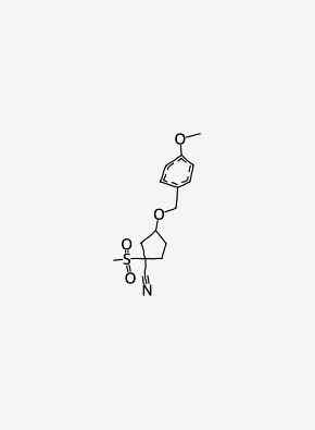 COc1ccc(COC2CCC(C#N)(S(C)(=O)=O)C2)cc1